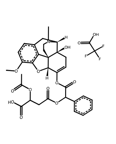 COc1ccc2c3c1O[C@H]1C(OC(=O)C(OC(=O)CC(OC(C)=O)C(=O)O)c4ccccc4)=CC[C@@]4(O)[C@@H](C2)N(C)CC[C@]314.O=C(O)C(F)(F)F